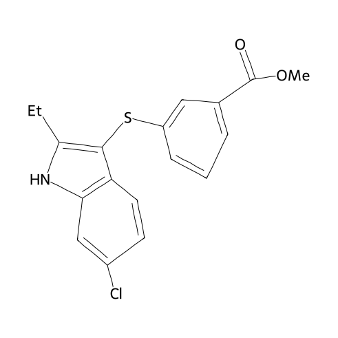 CCc1[nH]c2cc(Cl)ccc2c1Sc1cccc(C(=O)OC)c1